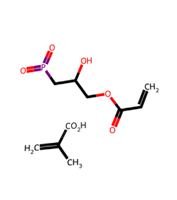 C=C(C)C(=O)O.C=CC(=O)OCC(O)CP(=O)=O